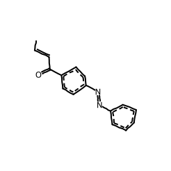 CC=CC(=O)c1ccc(/N=N/c2ccccc2)cc1